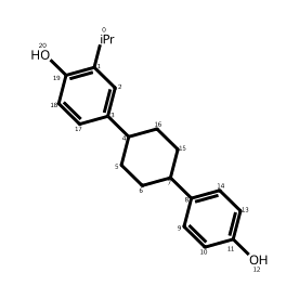 CC(C)c1cc(C2CCC(c3ccc(O)cc3)CC2)ccc1O